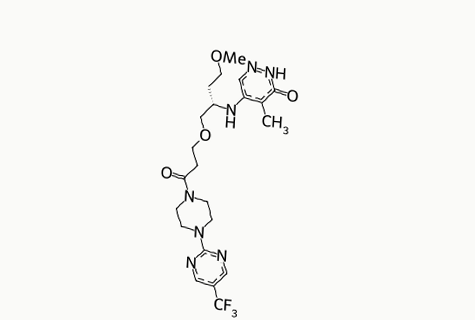 COCC[C@@H](COCCC(=O)N1CCN(c2ncc(C(F)(F)F)cn2)CC1)Nc1cn[nH]c(=O)c1C